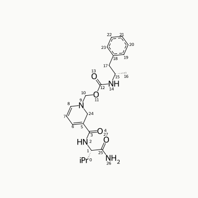 CC(C)[C@H](NC(=O)C1=CC=CN(COC(=O)N[C@@H](C)Cc2ccccc2)C1)C(N)=O